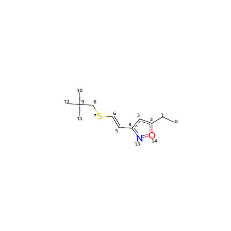 CCc1cc(C=CSCC(C)(C)C)no1